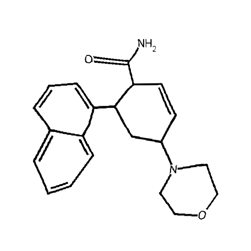 NC(=O)C1C=CC(N2CCOCC2)CC1c1cccc2ccccc12